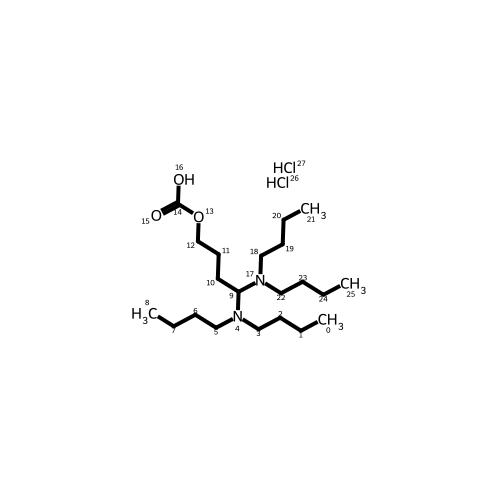 CCCCN(CCCC)C(CCCOC(=O)O)N(CCCC)CCCC.Cl.Cl